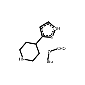 CC(C)(C)OC=O.c1cc(C2CCNCC2)n[nH]1